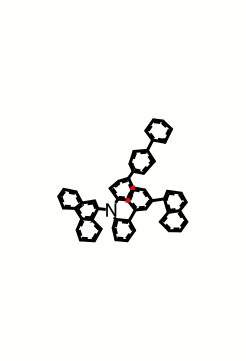 c1ccc(-c2ccc(-c3ccc(N(c4ccccc4-c4cccc(-c5cccc6ccccc56)c4)c4cc5ccccc5c5ccccc45)cc3)cc2)cc1